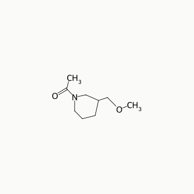 COCC1CCCN(C(C)=O)C1